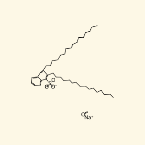 C=O.CCCCCCCCCCCCCCCCc1cc2ccccc2c(S(=O)(=O)[O-])c1CCCCCCCCCCCCCCCC.[Na+]